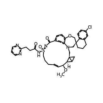 CO[C@H]1/C=C/CCC[S@@](=O)(NC(=O)CCc2ncccn2)=NC(=O)c2ccc3c(c2)N(C[C@@]2(CCCc4cc(Cl)ccc42)CO3)C[C@@]23CC2[C@@H]13